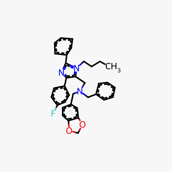 CCCCn1c(-c2ccccc2)nc(-c2ccc(F)cc2)c1CN(Cc1ccccc1)Cc1ccc2c(c1)OCO2